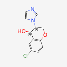 O[C@@H]1c2cc(Cl)ccc2OC[C@H]1n1ccnc1